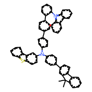 CC1(C)c2ccccc2-c2ccc(-c3ccc(N(c4ccc(-c5ccc(-c6ccccc6-n6c7ccccc7c7ccccc76)cc5)cc4)c4ccc5sc6ccccc6c5c4)cc3)cc21